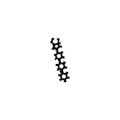 C=Cc1sc(-c2ccc(-c3ccc(-c4ccccc4)cc3)cc2)cc1C